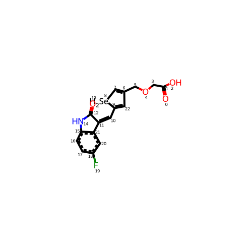 O=C(O)COCC1=C[SeH2]C(/C=C2\C(=O)Nc3ccc(F)cc32)=C1